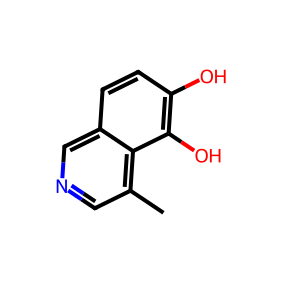 Cc1cncc2ccc(O)c(O)c12